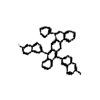 Fc1ccc2cc(-c3c4ccccc4c(-c4ccc5cc(F)ccc5c4)c4cc5c(cc34)c(-c3ccccc3)cc3ccccc35)ccc2c1